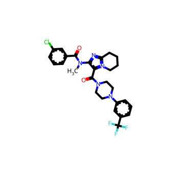 CN(C(=O)c1cccc(Cl)c1)c1nc2n(c1C(=O)N1CCN(c3cccc(C(F)(F)F)c3)CC1)CCCC2